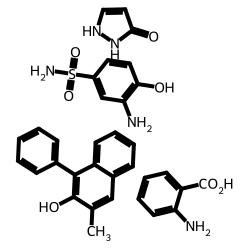 Cc1cc2ccccc2c(-c2ccccc2)c1O.Nc1cc(S(N)(=O)=O)ccc1O.Nc1ccccc1C(=O)O.O=c1cc[nH][nH]1